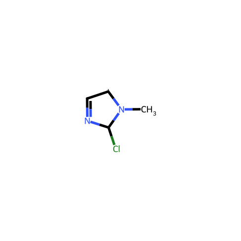 CN1[CH]C=NC1Cl